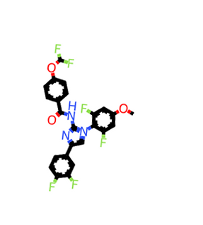 COc1cc(F)c(-n2cc(-c3ccc(F)c(F)c3)nc2NC(=O)c2ccc(OC(F)F)cc2)c(F)c1